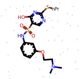 CCCSc1ncc(S(=O)(=O)Nc2cccc(OCCN(C)C)c2)c(O)n1